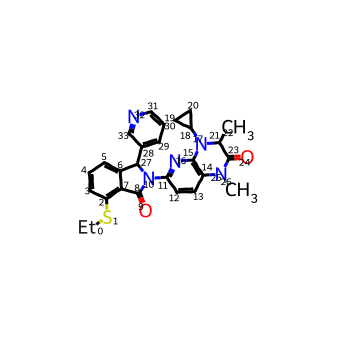 CCSc1cccc2c1C(=O)N(c1ccc3c(n1)N(C1CC1)C(C)C(=O)N3C)C2c1cccnc1